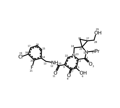 CC(C)N1C(=O)c2c(O)c(=O)c(C(=O)NCc3cccc(Cl)c3F)cn2CC12CC2CO